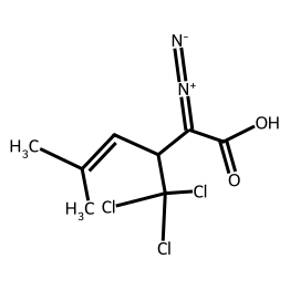 CC(C)=CC(C(=[N+]=[N-])C(=O)O)C(Cl)(Cl)Cl